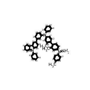 Cc1ccc(N(N)c2ccc(-c3ccc(N(c4ccccc4)c4cccc(-c5ccc6c(c5)c5ccccc5n6-c5ccccc5)c4)cc3C)c(C)c2)cc1